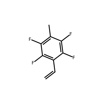 C=Cc1c(F)c(F)c(C)c(F)c1F